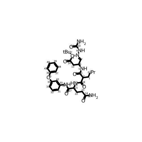 CC(C)CC(C(=O)NC(C=NNC(N)=O)CC(=O)OC(C)(C)C)C(=O)NC(CCC(N)=O)C(=O)Nc1cccc(Oc2ccccc2)c1